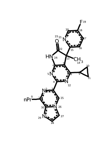 CCCc1nc(-c2nc3c(c(C4CC4)n2)C(C)(c2ccc(F)cn2)C(=O)N3)cn2ccnc12